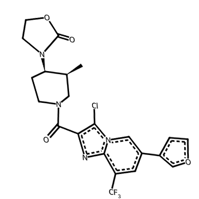 C[C@H]1CN(C(=O)c2nc3c(C(F)(F)F)cc(-c4ccoc4)cn3c2Cl)CC[C@H]1N1CCOC1=O